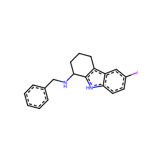 Ic1ccc2[nH]c3c(c2c1)CCCC3NCc1ccccc1